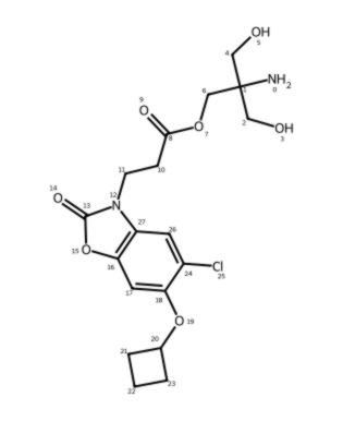 NC(CO)(CO)COC(=O)CCn1c(=O)oc2cc(OC3CCC3)c(Cl)cc21